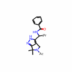 CC(=O)N1Cc2c(n[nH]c2C(NC(=O)c2ccccc2)C(C)C)C1(C)C